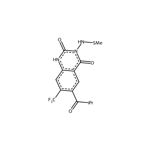 CSNn1c(=O)[nH]c2cc(C(F)(F)F)c(C(=O)C(C)C)cc2c1=O